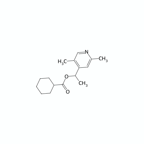 Cc1cc(C(C)OC(=O)C2CCCCC2)c(C)cn1